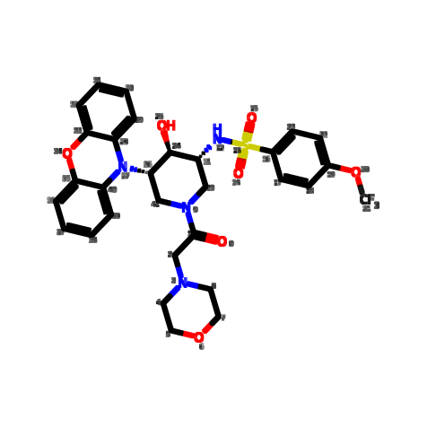 O=C(CN1CCOCC1)N1C[C@@H](NS(=O)(=O)c2ccc(OC(F)(F)F)cc2)[C@H](O)[C@@H](N2c3ccccc3Oc3ccccc32)C1